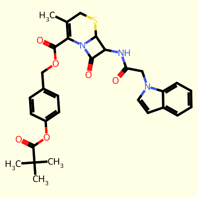 CC1=C(C(=O)OCc2ccc(OC(=O)C(C)(C)C)cc2)N2C(=O)C(NC(=O)Cn3ccc4ccccc43)C2SC1